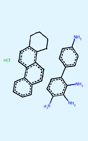 Cl.Nc1ccc(-c2ccc(N)c(N)c2N)cc1.c1ccc2c(c1)ccc1c3c(ccc12)CCCC3